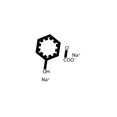 O=C([O-])[O-].Oc1ccccc1.[Na+].[Na+]